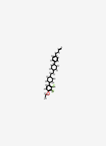 C=CCCc1ccc(C2CCC(CCC3CCC(c4ccc(OCC)c(F)c4F)CC3)CC2)cc1